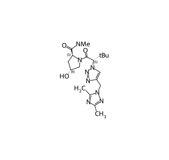 CNC(=O)[C@@H]1C[C@@H](O)CN1C(=O)[C@@H](n1cc(Cn2nc(C)nc2C)nn1)C(C)(C)C